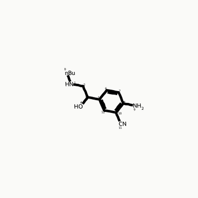 CCCCNCC(O)c1ccc(N)c(C#N)c1